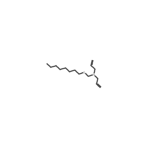 C=CCN(CC=C)CSCCCCCCCC